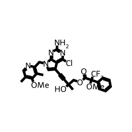 COc1c(C)cnc(Cn2cc(C#CC(C)(O)COC(=O)C(OC)(c3ccccc3)C(F)(F)F)c3c(Cl)nc(N)nc32)c1C